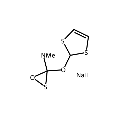 CNC1(OC2SC=CS2)OS1.[NaH]